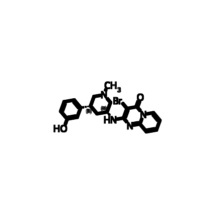 CN1C[C@H](Nc2nc3ccccn3c(=O)c2Br)C[C@H](c2cccc(O)c2)C1